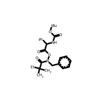 CCC(C)(C)C(=O)N(Cc1ccccc1)OC(=O)C(NC(=O)OC(C)(C)C)C(C)C